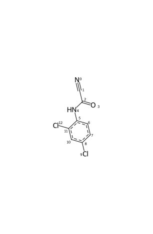 N#CC(=O)Nc1ccc(Cl)cc1Cl